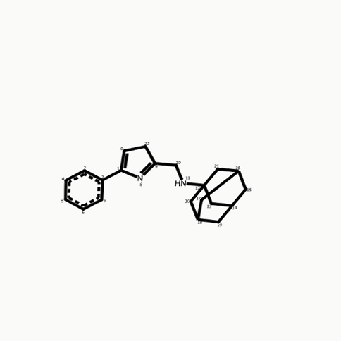 C1=C(c2ccccc2)N=C(CNC23CC4CC(CC(C4)C2)C3)C1